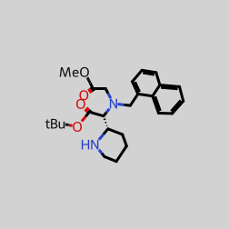 COC(=O)CN(Cc1cccc2ccccc12)C(C(=O)OC(C)(C)C)[C@@H]1CCCCN1